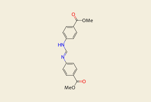 COC(=O)c1ccc(/N=C/Nc2ccc(C(=O)OC)cc2)cc1